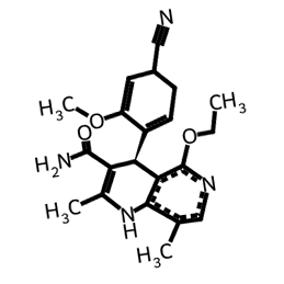 CCOc1ncc(C)c2c1[C@H](C1=CCC(C#N)C=C1OC)C(C(N)=O)=C(C)N2